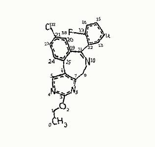 CCOc1ncc2c(n1)CN=C(c1ccccc1F)c1cc(Cl)ccc1-2